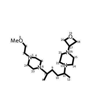 COCCN1CCN(C(C)CCC(C)N2CCN(C3COC3)CC2)CC1